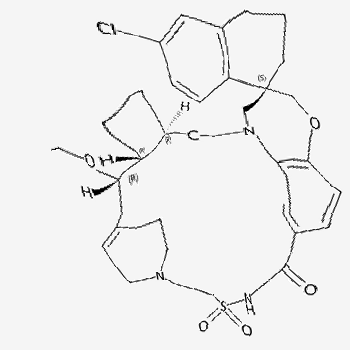 CO[C@H]1C2=CCN(CC2)S(=O)(=O)NC(=O)c2ccc3c(c2)N(C[C@@H]2CC[C@H]21)C[C@@]1(CCCc2cc(Cl)ccc21)CO3